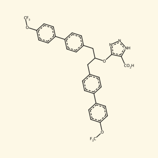 O=C(O)c1[nH]nnc1OC(Cc1ccc(-c2ccc(OC(F)(F)F)cc2)cc1)Cc1ccc(-c2ccc(OC(F)(F)F)cc2)cc1